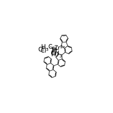 CCC1=Cc2c(-c3c4ccccc4cc4ccccc34)cccc2C1c1cccc2c1[CH]([Zr+2][SiH](C)C)c1ccccc1-2.[Cl-].[Cl-]